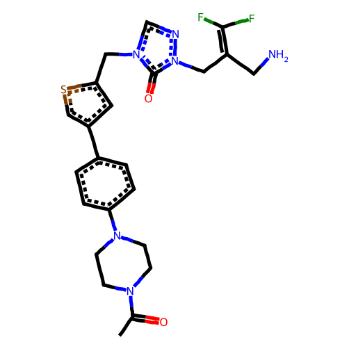 CC(=O)N1CCN(c2ccc(-c3csc(Cn4cnn(CC(CN)=C(F)F)c4=O)c3)cc2)CC1